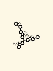 CC1(C)c2ccccc2-c2ccc(N(c3ccc4c(c3)C(C)(C)c3cc(-c5ccc6oc7ccccc7c6c5)ccc3-4)c3ccc4c(c3)C(C)(C)c3cc(C5C=CC=CC5)ccc3-4)cc21